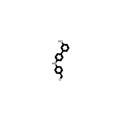 O=Cc1ccc(Nc2ccc(-c3cccc(O)c3)cc2)cc1